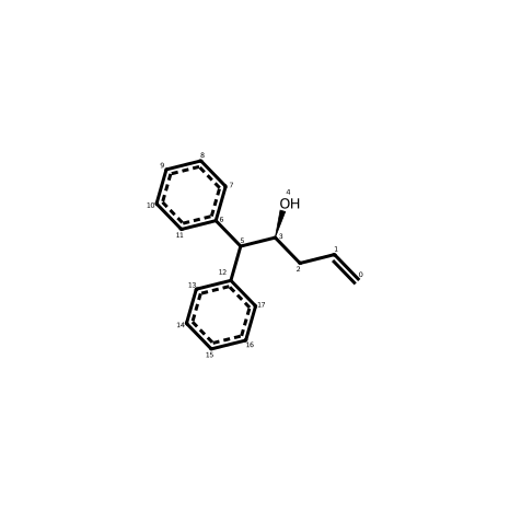 C=CC[C@H](O)C(c1ccccc1)c1ccccc1